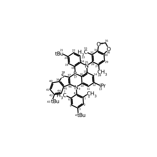 Cc1cc(C(C)(C)C)cc(C)c1N1c2cc(C(C)C)cc3c2B(c2cc(C(C)(C)C)ccc2N3c2c(C)cc3c(c2C)OCO3)c2sc3ccc(C(C)(C)C)cc3c21